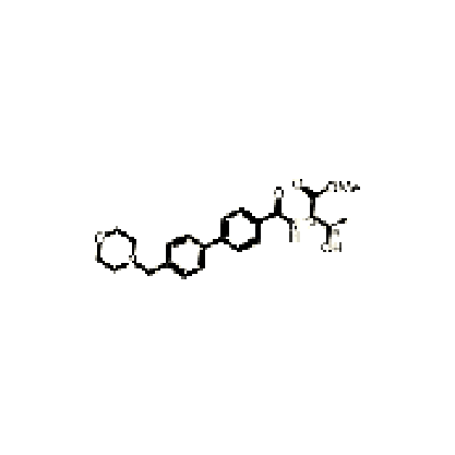 COC(=O)[C@@H](NC(=O)c1ccc(-c2ccc(CN3CCOCC3)cc2)cc1)[C@@H](C)O